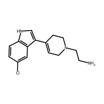 NCCN1CC=C(c2c[nH]c3ccc(Cl)cc23)CC1